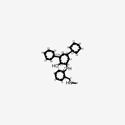 CNCc1ccccc1Pc1cc(-c2ccccc2)cc(-c2ccccc2)c1O